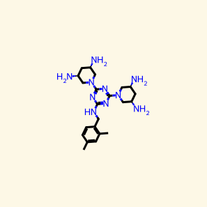 Cc1ccc(CNc2nc(N3C[C@H](N)C[C@H](N)C3)nc(N3C[C@H](N)C[C@H](N)C3)n2)c(C)c1